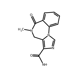 CN1Cc2c(C([NH])=O)ncn2-c2ccccc2C1=O